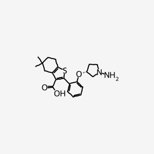 CC1(C)CCc2sc(-c3ccccc3O[C@@H]3CCN(N)C3)c(C(=O)O)c2C1